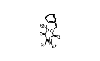 CCN(C(=O)OCc1ccccc1)C(C(=O)OC(C)(C)C)C(C)C